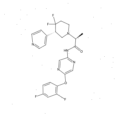 C[C@@H](C(=O)Nc1cnc(Oc2ccc(F)cc2F)cn1)N1CCC(F)(F)[C@@H](c2ccncc2)C1